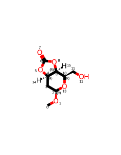 CO[C@H]1C[C@H]2OC(=O)O[C@H]2[C@@H](CO)O1